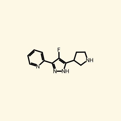 Fc1c(-c2ccccn2)n[nH]c1C1CCNC1